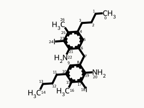 CCCCc1cc(Cc2cc(CCCC)c(C)c(I)c2N)c(N)c(I)c1C